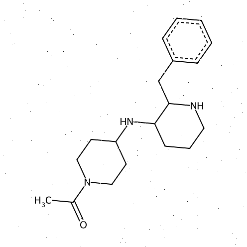 CC(=O)N1CCC(NC2CCCNC2Cc2ccccc2)CC1